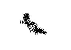 O=C(c1cc(Cc2n[nH]c(=O)c3ccc(OC4CCC4)cc23)ccc1F)N1CC(Nc2ncc(C(F)(F)F)cn2)C1